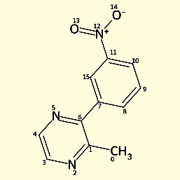 Cc1nccnc1-c1cccc([N+](=O)[O-])c1